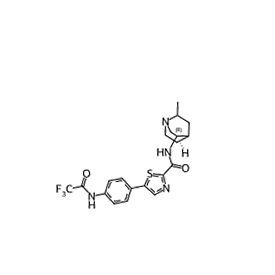 CC1CC2CCN1C[C@@H]2NC(=O)c1ncc(-c2ccc(NC(=O)C(F)(F)F)cc2)s1